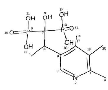 Cc1ncc(C(C)C(O)(P(=O)(O)O)P(=O)(O)O)c(C)c1C